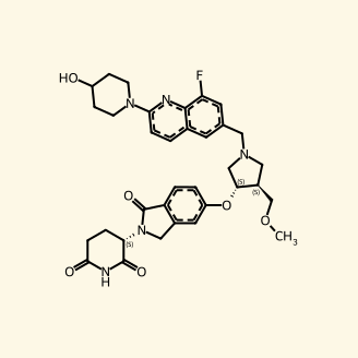 COC[C@@H]1CN(Cc2cc(F)c3nc(N4CCC(O)CC4)ccc3c2)C[C@H]1Oc1ccc2c(c1)CN([C@H]1CCC(=O)NC1=O)C2=O